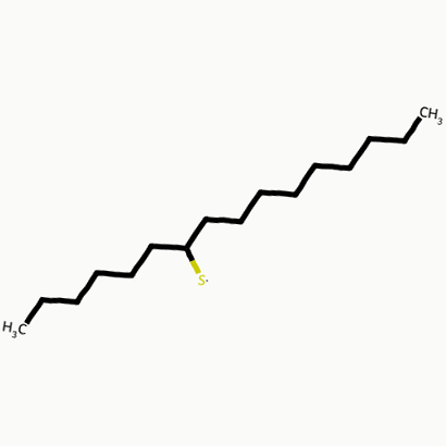 CCCCCCCCCC([S])CCCCCC